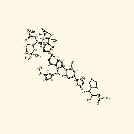 COC(=O)NC(C(=O)N1CCC[C@H]1c1ncc(-c2cc(F)c3c(c2)OC(c2cnc(CC(C)C)s2)n2c-3cc3cc(-c4cnc([C@@]5(O)CC6=C[C@H]6N5C(=O)C(NC(=O)OC)C5CCOC(C)(C)C5)[nH]4)ccc32)[nH]1)C(C)C